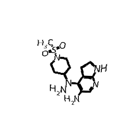 CS(=O)(=O)N1CCC(N(N)c2c(N)cnc3c2CCN3)CC1